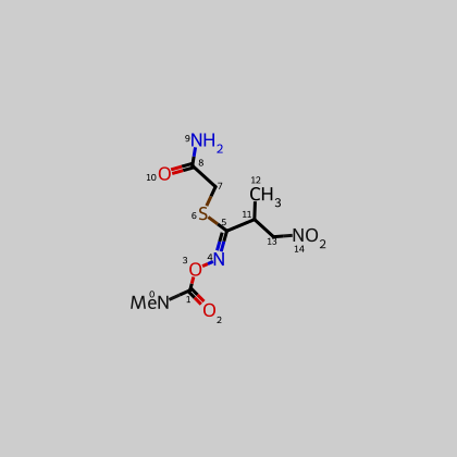 CNC(=O)ON=C(SCC(N)=O)C(C)C[N+](=O)[O-]